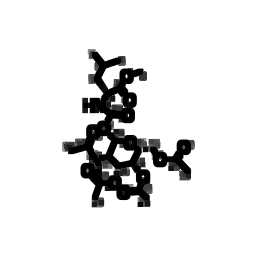 COC(=O)[C@H](CC(C)C)NC(=O)O[C@H]1O[C@H](COC(C)=O)[C@@H](OC(C)=O)[C@H](OC(C)=O)[C@H]1NC(C)=O